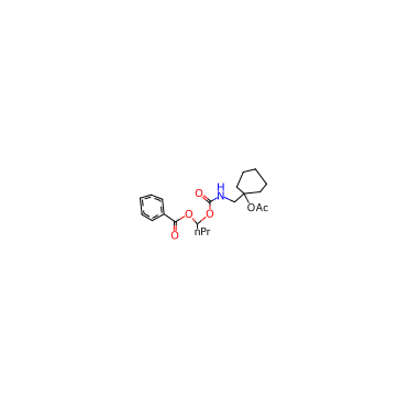 CCCC(OC(=O)NCC1(OC(C)=O)CCCCC1)OC(=O)c1ccccc1